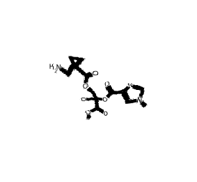 COC(=O)C([O])(COC(=O)C1(CN)CC1)OC(=O)c1cn(C)cn1